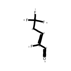 O=CC(F)=CCC(F)(F)F